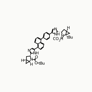 CC(C)(C)OC(=O)N1[C@@H]2C[C@@H]2C[C@H]1c1ncc(-c2cccc3c(-c4ccc(-c5cnc([C@@H]6C[C@@H]7C[C@@]7(C(C)(C)C)N6C(=O)O)[nH]5)cc4)cccc23)[nH]1